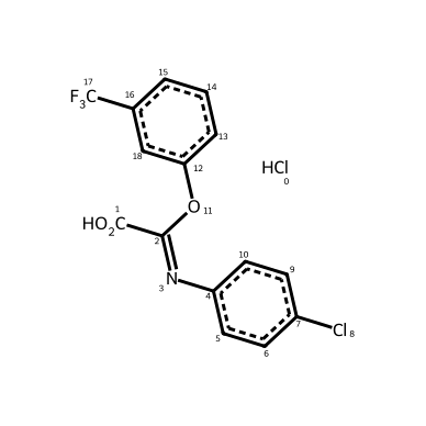 Cl.O=C(O)C(=Nc1ccc(Cl)cc1)Oc1cccc(C(F)(F)F)c1